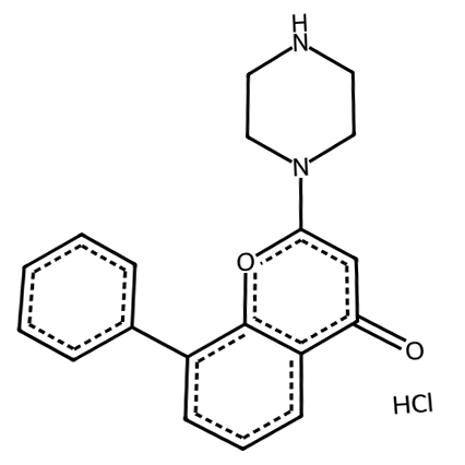 Cl.O=c1cc(N2CCNCC2)oc2c(-c3ccccc3)cccc12